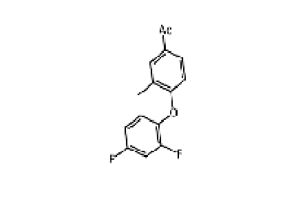 CC(=O)c1ccc(Oc2ccc(F)cc2F)c(C)c1